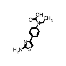 CCN(C(=O)O)c1ccc(-c2csc(N)n2)cc1